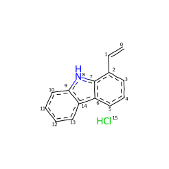 C=Cc1cccc2c1[nH]c1ccccc12.Cl